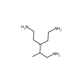 CC(CN)N(CCN)CCN